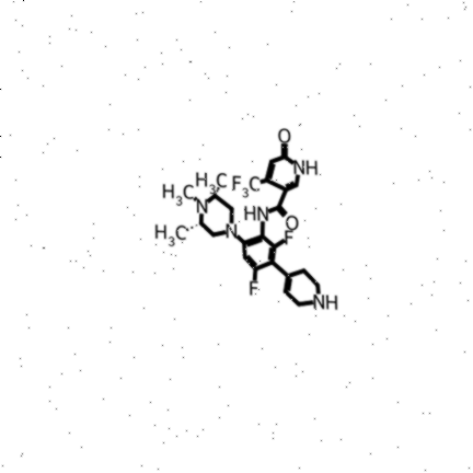 C[C@@H]1CN(c2cc(F)c(C3=CCNCC3)c(F)c2NC(=O)c2c[nH]c(=O)cc2C(F)(F)F)C[C@H](C)N1C